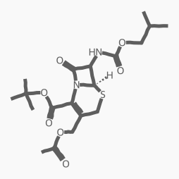 CC(=O)OCC1=C(C(=O)OC(C)(C)C)N2C(=O)C(NC(=O)OCC(C)C)[C@H]2SC1